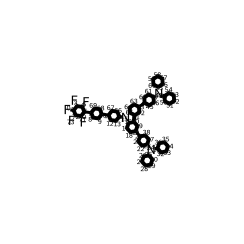 Fc1c(F)c(F)c(-c2ccc(-c3ccc(-n4c5ccc(-c6ccc(N(c7ccccc7)c7ccccc7)cc6)cc5c5cc(-c6ccc(N(c7ccccc7)c7ccccc7)cc6)ccc54)cc3)cc2)c(F)c1F